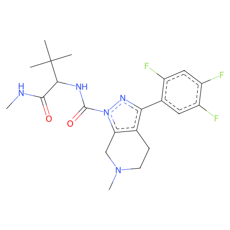 CNC(=O)C(NC(=O)n1nc(-c2cc(F)c(F)cc2F)c2c1CN(C)CC2)C(C)(C)C